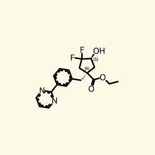 CCOC(=O)[C@]1(Cc2cccc(-c3ncccn3)c2)C[C@H](O)C(F)(F)C1